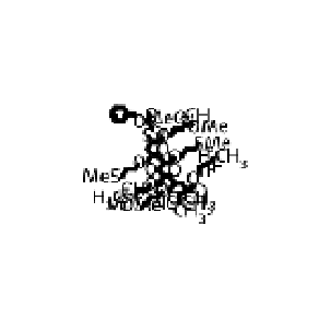 CO[Si](C)(C)CCCOC(=O)C(CC(CC(CC(SC(=S)C(=O)OCc1ccccc1)C(=O)OCCC[Si](C)(OC)OC)C(=O)OCCCSC)C(=O)OCCCSC)CC(CC(C)(CC(C)(C)C#N)C(=O)OCCC(F)(F)C(C)(F)F)C(=O)OCCCSC